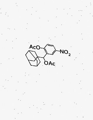 CC(=O)Oc1ccc([N+](=O)[O-])cc1C(OC(C)=O)C12CC3CC(CC(C3)C1)C2